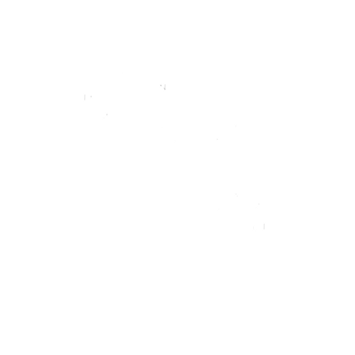 COC(=O)CCC(=O)c1cc2nc(Cl)c(OC)cc2s1